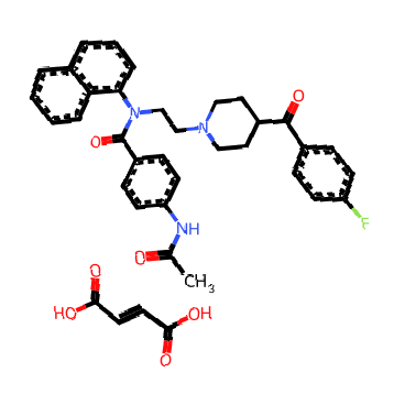 CC(=O)Nc1ccc(C(=O)N(CCN2CCC(C(=O)c3ccc(F)cc3)CC2)c2cccc3ccccc23)cc1.O=C(O)C=CC(=O)O